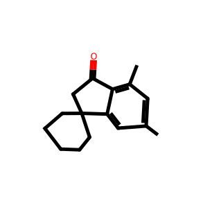 Cc1cc(C)c2c(c1)C1(CCCCC1)CC2=O